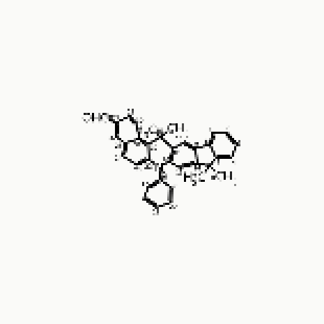 CC1(C)c2ccccc2-c2cc3c(cc21)N(c1ccccc1)c1ccc2cc(C=O)ccc2c1C3(C)C